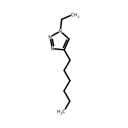 CCCCCCc1cn(CC)nn1